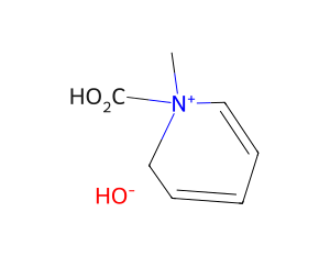 C[N+]1(C(=O)O)C=CC=CC1.[OH-]